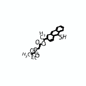 CCC(C)(C)C(=O)OCC(=O)OC(C)c1ccc2c(S)c3ccccc3cc2c1